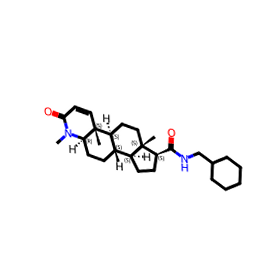 CN1C(=O)C=C[C@]2(C)[C@H]3CC[C@]4(C)[C@@H](C(=O)NCC5CCCCC5)CC[C@H]4[C@@H]3CC[C@@H]12